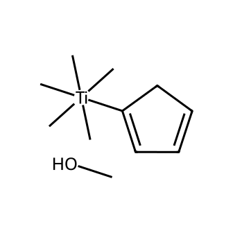 CO.[CH3][Ti]([CH3])([CH3])([CH3])([CH3])[C]1=CC=CC1